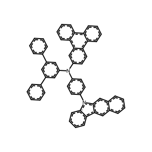 c1ccc(-c2cc(-c3ccccc3)cc(N(c3ccc(-n4c5ccccc5c5cc6ccccc6cc54)cc3)c3ccc4c5ccccc5c5ccccc5c4c3)c2)cc1